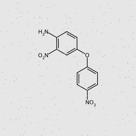 Nc1ccc(Oc2ccc([N+](=O)[O-])cc2)cc1[N+](=O)[O-]